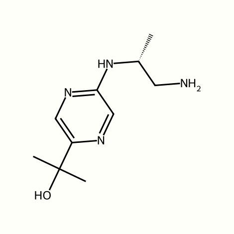 C[C@H](CN)Nc1cnc(C(C)(C)O)cn1